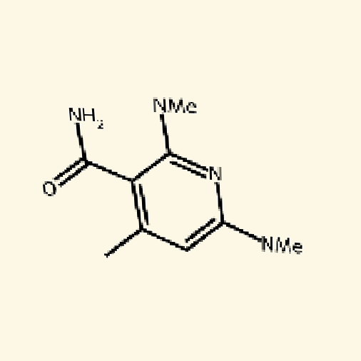 CNc1cc(C)c(C(N)=O)c(NC)n1